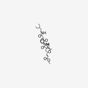 CCOC(=O)/C=C/CC[C@H](NC(C)=O)C(=O)Nc1cccn(CC(=O)NCCC(CC)CC)c1=O